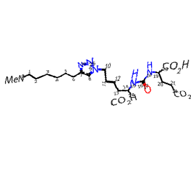 CNCCCCCCc1cn(CCCCC(NC(=O)NC(CCC(=O)O)C(=O)O)C(=O)O)nn1